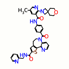 Cc1cnc(N2CC3(CCOCC3)C2)c(C(=O)Nc2ccc(C(=O)N3CCc4cc(C(=O)NCc5ccccn5)sc4-c4ncccc43)cc2)c1